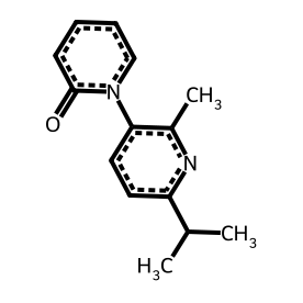 Cc1nc(C(C)C)ccc1-n1ccccc1=O